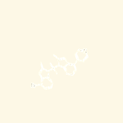 CC1=Cc2c(Br)cccc2C1C(C)(C)C1C(C)=Cc2c(-c3ccncc3)cccc21